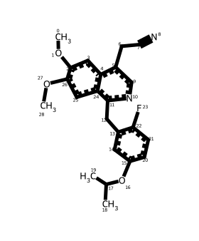 COc1cc2c(CC#N)cnc(Cc3cc(OC(C)C)ccc3F)c2cc1OC